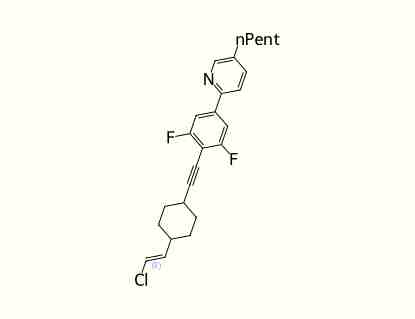 CCCCCc1ccc(-c2cc(F)c(C#CC3CCC(/C=C/Cl)CC3)c(F)c2)nc1